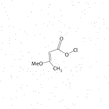 COC(C)=CC(=O)OCl